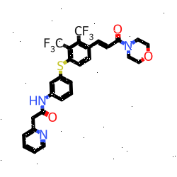 O=C(Cc1ccccn1)Nc1cccc(Sc2ccc(C=CC(=O)N3CCOCC3)c(C(F)(F)F)c2C(F)(F)F)c1